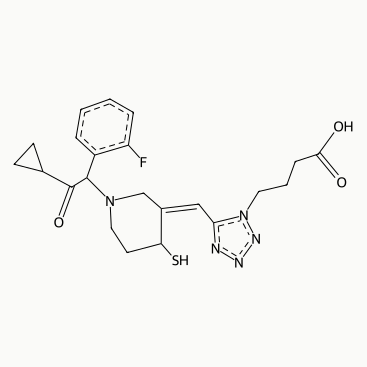 O=C(O)CCCn1nnnc1C=C1CN(C(C(=O)C2CC2)c2ccccc2F)CCC1S